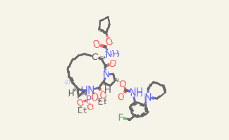 CCOP(=O)(OCC)[C@@]12C[C@H]1/C=C\CCCCC[C@H](NC(=O)OC1CCCC1)C(=O)N1C[C@H](OC(=O)Nc3cc(CF)ccc3N3CCCCC3)C[C@H]1C(=O)N2